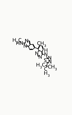 CNc1ncc2cc(-c3c(C)ccc4c(Nc5nnc(C(C)(C)C)s5)ncnc34)ccc2n1